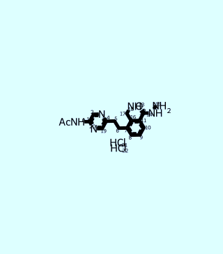 CC(=O)Nc1cnc(CCc2cccc(C(=O)NN)c2CN)cn1.Cl.Cl